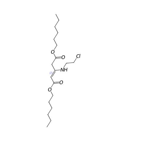 CCCCCCOC(=O)/C=C(/CC(=O)OCCCCCC)NCCCl